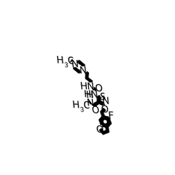 CNC(=O)c1c(OCc2cc3c(cc2F)CCO3)nsc1NC(=O)NCCCN1CCN(C)CC1